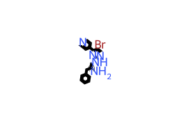 N[C@@H](CNc1ncc(Br)c(-c2ccncc2)n1)Cc1ccccc1